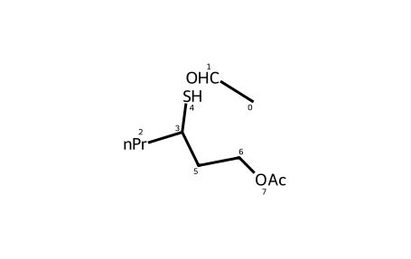 CC=O.CCCC(S)CCOC(C)=O